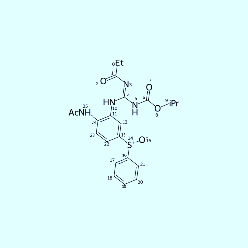 CCC(=O)N=C(NC(=O)OC(C)C)Nc1cc([S+]([O-])c2ccccc2)ccc1NC(C)=O